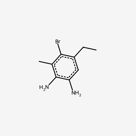 CCc1cc(N)c(N)c(C)c1Br